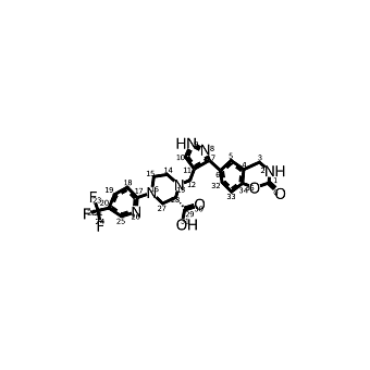 O=C1NCc2cc(-c3n[nH]cc3CN3CCN(c4ccc(C(F)(F)F)cn4)C[C@H]3C(=O)O)ccc2O1